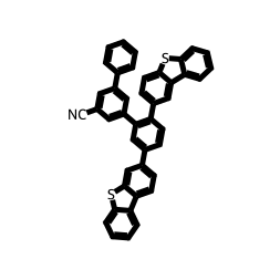 N#Cc1cc(-c2ccccc2)cc(-c2cc(-c3ccc4c(c3)sc3ccccc34)ccc2-c2ccc3sc4ccccc4c3c2)c1